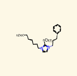 CCCCCCCCCCCCCCCCn1cc[n+](CCCc2ccccc2)c1CCCCCCCC